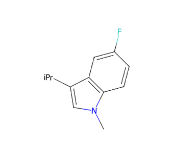 CC(C)c1cn(C)c2ccc(F)cc12